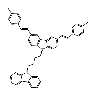 Cc1ccc(/C=C/c2ccc3c(c2)c2cc(/C=C/c4ccc(C)cc4)ccc2n3CCCCn2c3ccccc3c3ccccc32)cc1